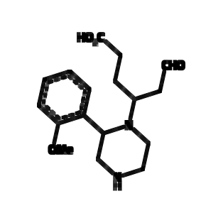 COc1ccccc1C1CNCCN1C(CC=O)CCC(=O)O